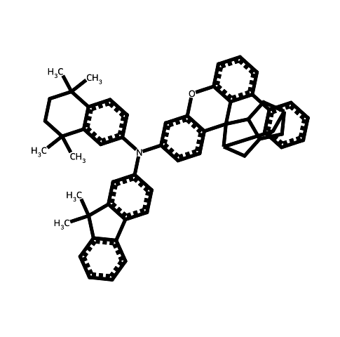 CC1(C)CCC(C)(C)c2cc(N(c3ccc4c(c3)Oc3cccc(-c5ccccc5)c3C43C4CC5CC(C4)C3C5)c3ccc4c(c3)C(C)(C)c3ccccc3-4)ccc21